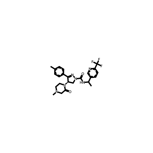 Cc1ccc(C2=NN(C(=O)NC(C)c3ccc(C(F)(F)F)nc3)C[C@H]2N2CCN(C)CC2=O)cc1